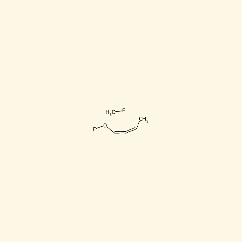 CC=C=COF.CF